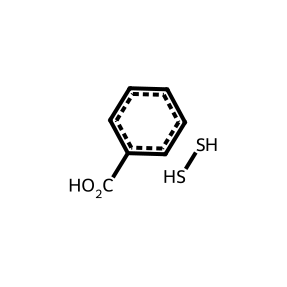 O=C(O)c1ccccc1.SS